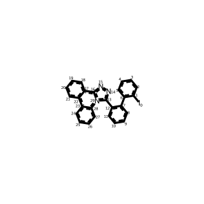 Ic1ccccc1-c1ccccc1-c1nnc2c3ccccc3c3ccccc3n12